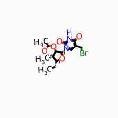 CC[C@H]1O[C@@H](n2cc(CBr)c(=O)[nH]c2=O)C(OC(C)=O)[C@H]1C